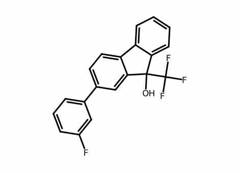 OC1(C(F)(F)F)c2ccccc2-c2ccc(-c3cccc(F)c3)cc21